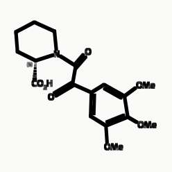 COc1cc(C(=O)C(=O)N2CCCC[C@H]2C(=O)O)cc(OC)c1OC